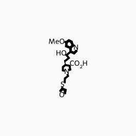 COc1ccc2nccc([C@H](O)CC[C@@H]3CCN(CCCSc4ccoc4)C[C@@H]3C(=O)O)c2c1